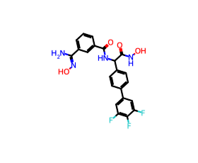 N/C(=N\O)c1cccc(C(=O)NC(C(=O)NO)c2ccc(-c3cc(F)c(F)c(F)c3)cc2)c1